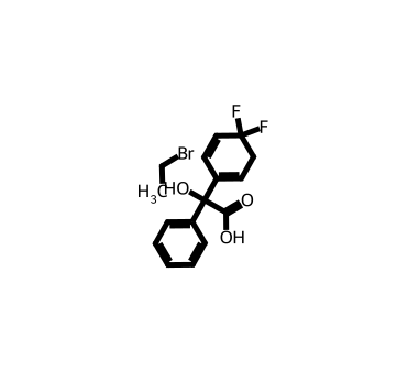 CCBr.O=C(O)C(O)(C1=CCC(F)(F)C=C1)c1ccccc1